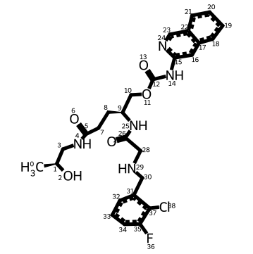 C[C@H](O)CNC(=O)CC[C@@H](COC(=O)Nc1cc2ccccc2cn1)NC(=O)CNCc1cccc(F)c1Cl